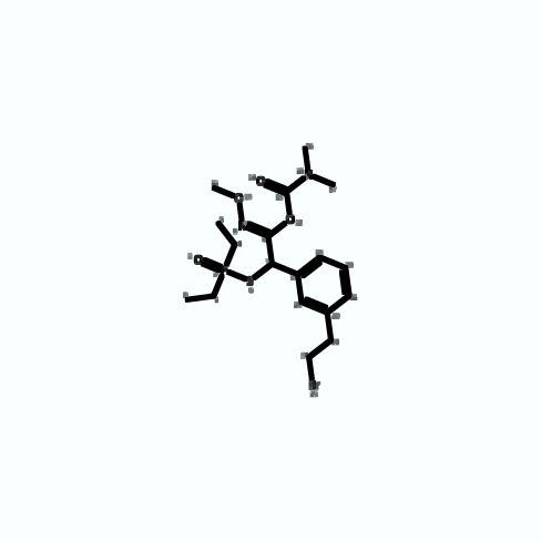 CCP(=O)(CC)SC(C(=NOC)OC(=O)N(C)C)c1cccc(CCBr)c1